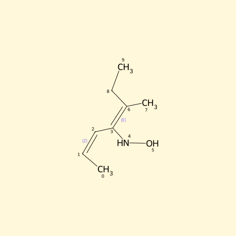 C/C=C\C(NO)=C(\C)CC